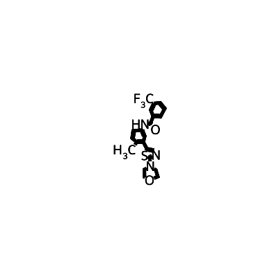 Cc1ccc(NC(=O)c2cccc(C(F)(F)F)c2)cc1-c1cnc(N2CCOCC2)s1